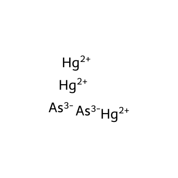 [As-3].[As-3].[Hg+2].[Hg+2].[Hg+2]